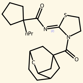 CCCC1(C(=O)/N=C2\SCCN2C(=O)C23CC4CCC(C2)C(C4)C3)CCCC1